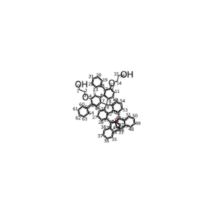 OCCOc1ccc(C2(c3ccc(OCCO)c(-c4ccccc4)c3)c3cccc(-c4cccc5ccccc45)c3-c3c(-c4cccc5ccccc45)cccc32)cc1-c1ccccc1